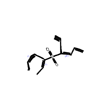 C=C/C=C(\C=C)S(=O)(=O)C(/C=C\C)=C/C